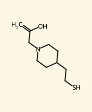 C=C(O)CN1CCC(CCS)CC1